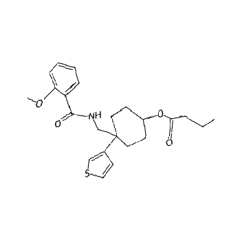 CCCC(=O)OC1CCC(CNC(=O)c2ccccc2OC)(c2ccsc2)CC1